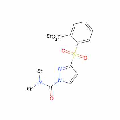 CCOC(=O)c1ccccc1S(=O)(=O)c1ccn(C(=O)N(CC)CC)n1